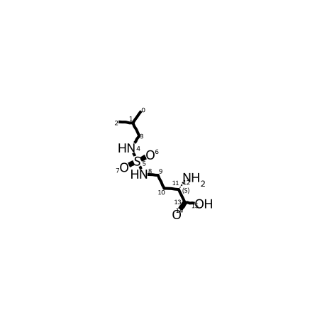 CC(C)CNS(=O)(=O)NCC[C@H](N)C(=O)O